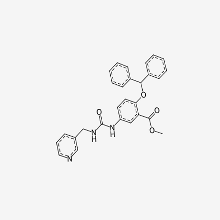 COC(=O)c1cc(NC(=O)NCc2cccnc2)ccc1OC(c1ccccc1)c1ccccc1